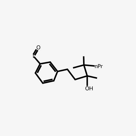 CCCC(C)(C)C(C)(O)CCc1cccc(I=O)c1